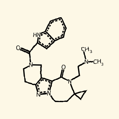 CN(C)CCN1C(=O)c2c3c(nn2CCC12CC2)CCN(C(=O)c1cc2ccccc2[nH]1)C3